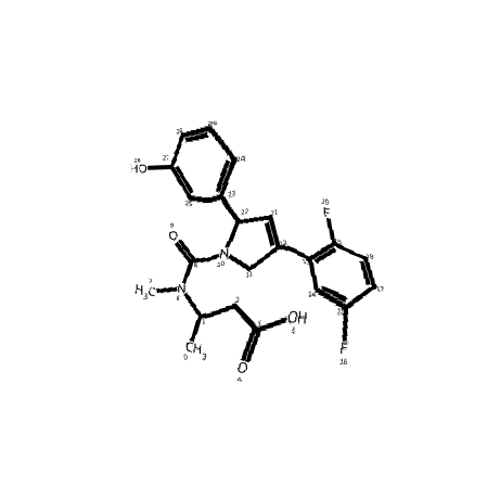 CC(CC(=O)O)N(C)C(=O)N1CC(c2cc(F)ccc2F)=CC1c1cccc(O)c1